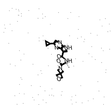 C[C@@H](NC(=O)c1c[nH]c2ncc(C3CC3)nc12)C(=O)N1CC2(COC2)C1